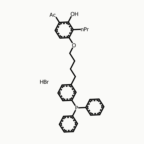 Br.CCCc1c(OCCCCc2cccc(P(c3ccccc3)c3ccccc3)c2)ccc(C(C)=O)c1O